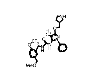 COCc1ccc(OC(F)(F)F)c(CNC(=O)Nc2c(C)c(OCC3CCNC3)nn2-c2ccccc2)c1